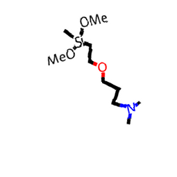 CO[Si](C)(CCOCCCN(C)C)OC